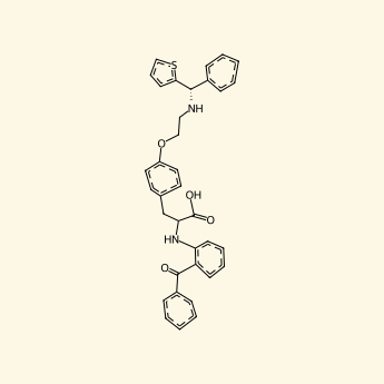 O=C(c1ccccc1)c1ccccc1NC(Cc1ccc(OCCN[C@@H](c2ccccc2)c2cccs2)cc1)C(=O)O